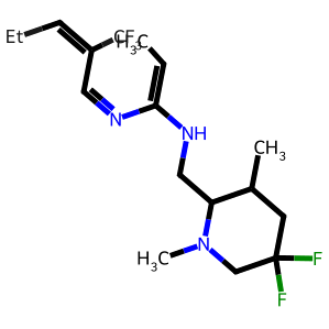 C\C=C(/N=C\C(=C/CC)C(F)(F)F)NCC1C(C)CC(F)(F)CN1C